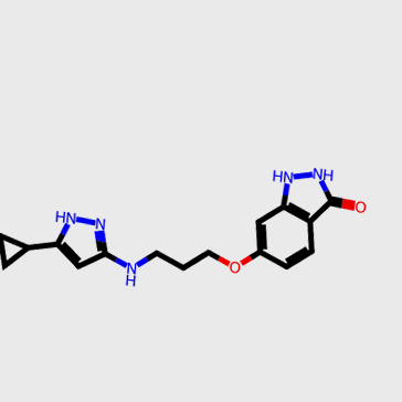 O=c1[nH][nH]c2cc(OCCCNc3cc(C4CC4)[nH]n3)ccc12